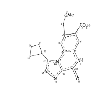 COCc1cc2c(cc1C(=O)O)[nH]c(=O)c1nnc(C3CCC3)n12